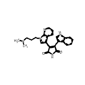 CN(C)CCCn1cc(C2=C(c3c[nH]c4ccccc34)C(=O)NC2=O)c2cccnc21